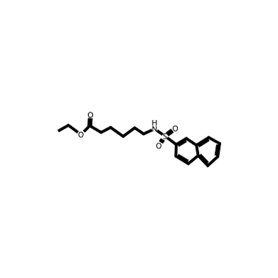 CCOC(=O)CCCCCNS(=O)(=O)c1ccc2ccccc2c1